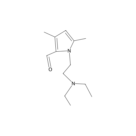 CCN(CC)CCn1c(C)cc(C)c1C=O